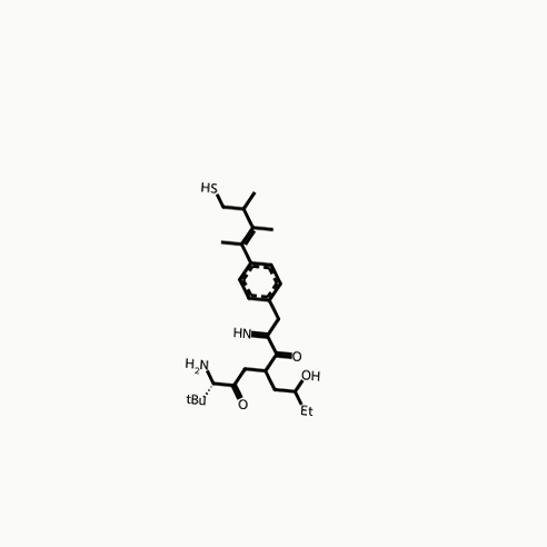 CCC(O)CC(CC(=O)[C@@H](N)C(C)(C)C)C(=O)C(=N)Cc1ccc(/C(C)=C(\C)C(C)CS)cc1